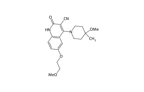 COCCOc1ccc2[nH]c(=O)c(C#N)c(N3CCC(C)(OC)CC3)c2c1